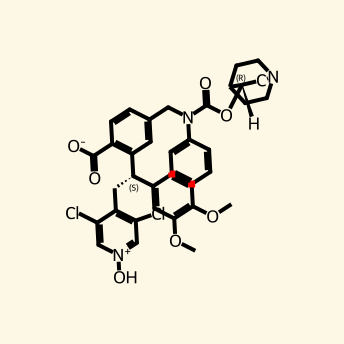 COc1ccc([C@H](Cc2c(Cl)c[n+](O)cc2Cl)c2cc(CN(C(=O)O[C@H]3CN4CCC3CC4)c3ccccc3)ccc2C(=O)[O-])cc1OC